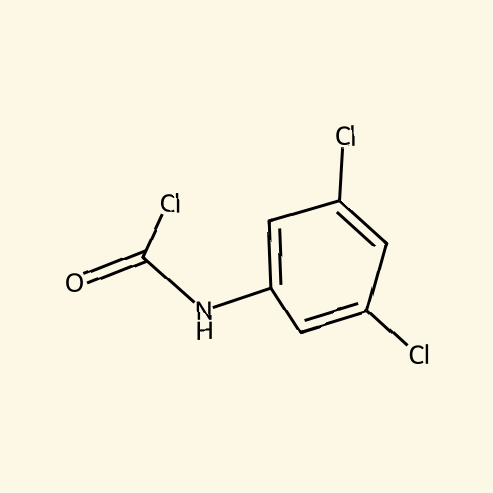 O=C(Cl)Nc1cc(Cl)cc(Cl)c1